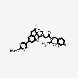 COc1ncc(-c2ccc3c(c2)CC(=O)[C@]32OCN(CC(=O)N(Cc3ccc(F)cc3)[C@@H](C)C(F)(F)F)C2=O)cn1